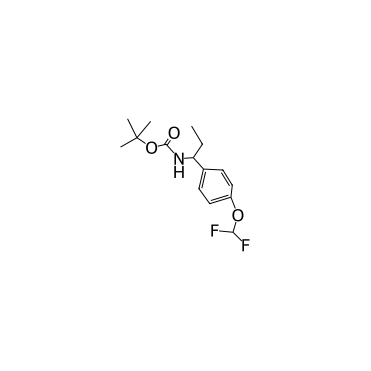 CCC(NC(=O)OC(C)(C)C)c1ccc(OC(F)F)cc1